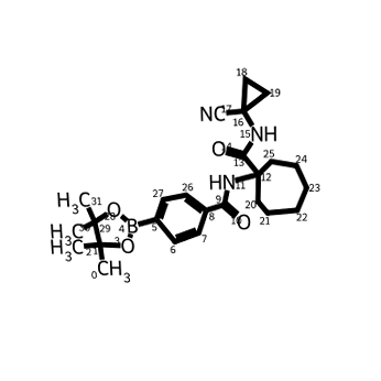 CC1(C)OB(c2ccc(C(=O)NC3(C(=O)NC4(C#N)CC4)CCCCCC3)cc2)OC1(C)C